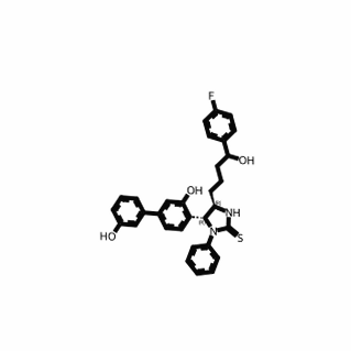 Oc1cccc(-c2ccc([C@@H]3[C@@H](CCCC(O)c4ccc(F)cc4)NC(=S)N3c3ccccc3)c(O)c2)c1